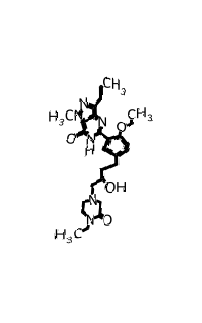 CCCc1nn(C)c2c(=O)[nH]c(-c3cc(CCC(O)CN4CCN(CC)C(=O)C4)ccc3OCC)nc12